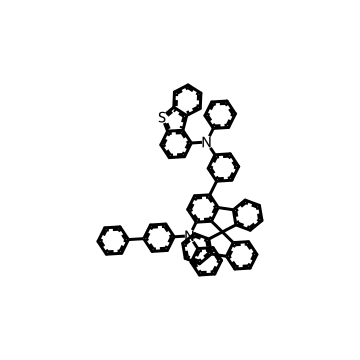 c1ccc(-c2ccc(N(c3ccccc3)c3ccc(-c4cccc(N(c5ccccc5)c5cccc6sc7ccccc7c56)c4)c4c3C3(c5ccccc5-c5ccccc53)c3ccccc3-4)cc2)cc1